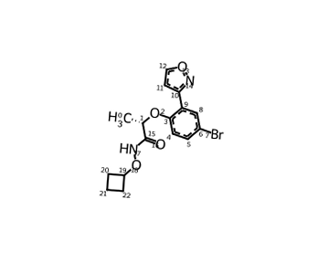 C[C@H](Oc1ccc(Br)cc1-c1ccon1)C(=O)NOC1CCC1